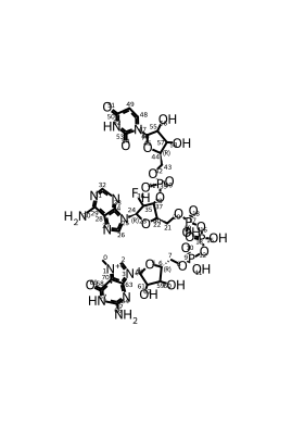 C[n+]1cn([C@@H]2O[C@H](COP(=O)(O)OP(=O)(O)OP(=O)(O)OC[C@H]3O[C@@H](n4cnc5c(N)ncnc54)C(F)C3OP(=O)(O)OC[C@H]3O[C@@H](n4ccc(=O)[nH]c4=O)C(O)C3O)C(O)C2O)c2nc(N)[nH]c(=O)c21